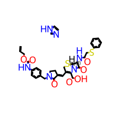 C=CCOC(=O)Nc1ccc(CN2CCC(=CC3=C(C(=O)O)N4C(=O)[C@@H](NC(=O)CSc5ccccc5)[C@H]4SC3)C2=O)cc1.c1c[nH]cn1